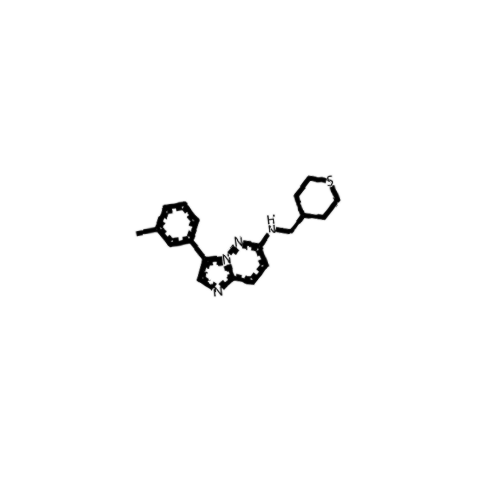 Cc1cccc(-c2cnc3ccc(NCC4CCSCC4)nn23)c1